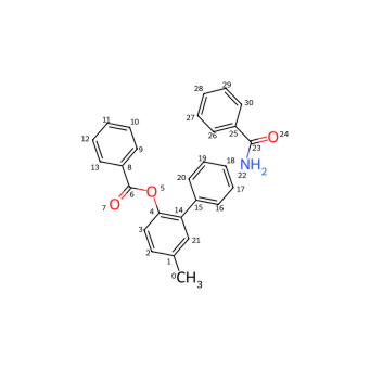 Cc1ccc(OC(=O)c2ccccc2)c(-c2ccccc2)c1.NC(=O)c1ccccc1